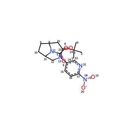 CC(C)(C)OC(=O)N1C2CCC1CN(c1ccc([N+](=O)[O-])nc1)C(=O)C2